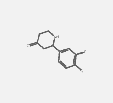 O=C1CCNC(c2ccc(F)c(F)c2)C1